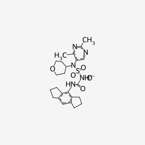 Cc1ncc(N(C2CCOCC2)S(=O)(=O)[NH+]([O-])C(=O)Nc2c3c(cc4c2CCC4)CCC3)c(C)n1